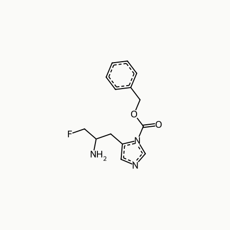 NC(CF)Cc1cncn1C(=O)OCc1ccccc1